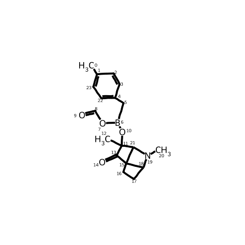 Cc1ccc(CB(OC=O)OC2(C)C(=O)C34CCC3N(C)C24)cc1